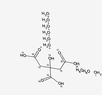 O.O.O.O.O.O.O.O.O.O=C(O)CC(O)(CC(=O)O)C(=O)O